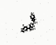 CC(=O)N1CCC2(CC1)CC(Nc1ncc3c(-c4cc(F)c5nccn5c4)c[nH]c3n1)C2